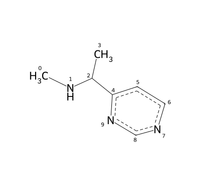 CNC(C)c1ccncn1